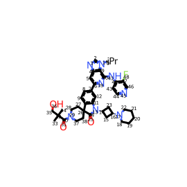 CC(C)n1cnc2cc(-c3ccc4c(c3)N([C@H]3C[C@@H](N5CCCCC5)C3)C(=O)C43CCN(C(=O)C(C)(C)CO)CC3)nc(Nc3ccncc3F)c21